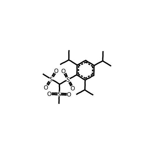 CC(C)c1cc(C(C)C)c(S(=O)(=O)C(S(C)(=O)=O)S(C)(=O)=O)c(C(C)C)c1